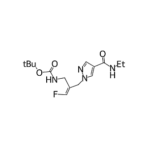 CCNC(=O)c1cnn(C/C(=C/F)CNC(=O)OC(C)(C)C)c1